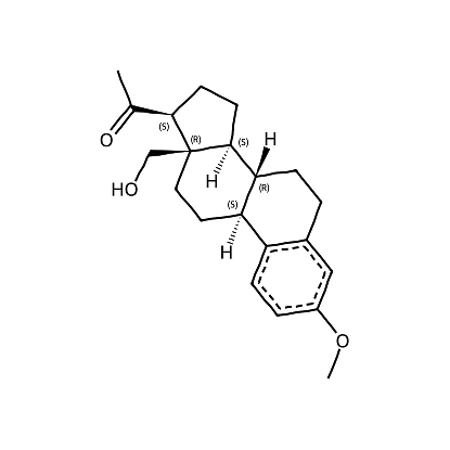 COc1ccc2c(c1)CC[C@@H]1[C@@H]2CC[C@]2(CO)[C@@H](C(C)=O)CC[C@@H]12